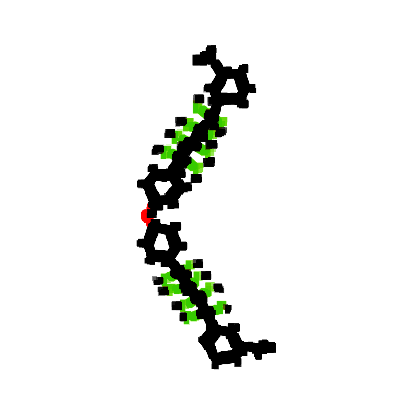 CCCCc1cccc(C(F)(F)C(F)(F)C(F)(F)C(F)(F)c2ccc(Oc3ccc(C(F)(F)C(F)(F)C(F)(F)C(F)(F)c4cccc(CCCC)c4)cc3)cc2)c1